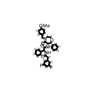 COc1ccc(CN2CCO[C@H](c3ccccc3)[C@H](NC(=O)[C@@H](NC(=O)Cc3cc(F)cc(F)c3)c3ccccc3)C2=O)cc1